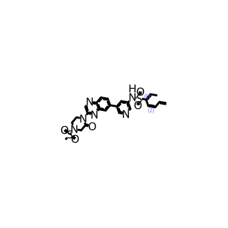 C=C/C=C\C(=C/C)S(=O)(=O)Nc1cncc(-c2ccc3ncc(N4CCN(S(C)(=O)=O)CC4=O)nc3c2)c1